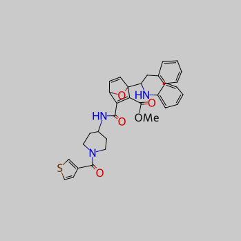 COC(=O)C1=C(C(=O)NC2CCN(C(=O)c3ccsc3)CC2)C2C=CC1(C(Cc1ccccc1)Nc1ccccc1)O2